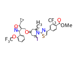 COC(=O)c1ccc(-c2csc(N3[C@H](C)C[C@H](OCc4c(-c5ccccc5OC(F)(F)F)noc4C4CC4)C[C@@H]3I)n2)cc1C(F)(F)F